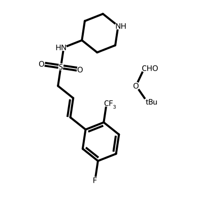 CC(C)(C)OC=O.O=S(=O)(CC=Cc1cc(F)ccc1C(F)(F)F)NC1CCNCC1